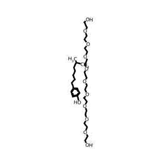 CC(C)CCCCCc1ccc(O)cc1.OCCOCCOCCOCCOCCOCCOCCOCCOCCOCCO